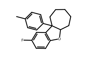 Cc1ccc(C23CCCCCC2Oc2ccc(F)cc23)cc1